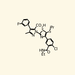 CCNC(=O)c1cc(-c2nc(-n3nc(C)c(-c4cccc(F)c4)c3C(=O)O)sc2SC(C)C)ccc1Cl